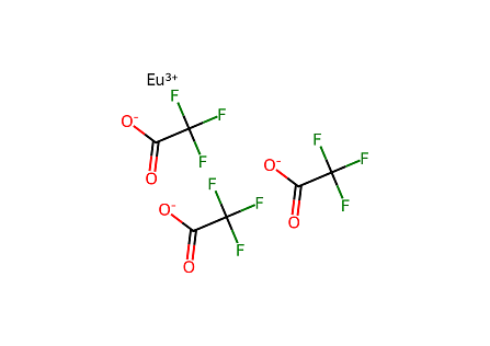 O=C([O-])C(F)(F)F.O=C([O-])C(F)(F)F.O=C([O-])C(F)(F)F.[Eu+3]